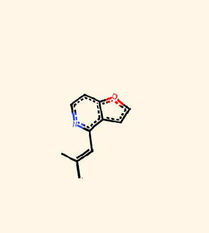 [CH2]C(C)=Cc1nccc2occc12